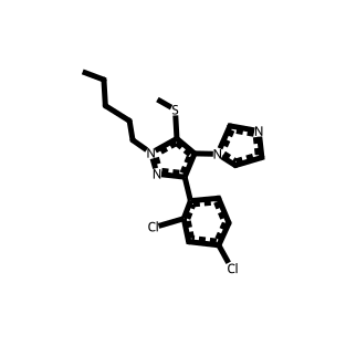 CCCCCn1nc(-c2ccc(Cl)cc2Cl)c(-n2ccnc2)c1SC